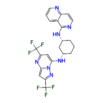 FC(F)(F)c1cc(N[C@H]2CCC[C@@H](Nc3nccc4ncccc34)C2)n2nc(C(F)(F)F)cc2n1